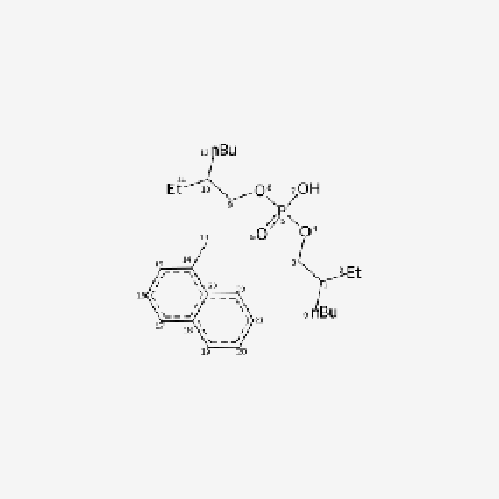 CCCCC(CC)COP(=O)(O)OCC(CC)CCCC.Cc1cccc2ccccc12